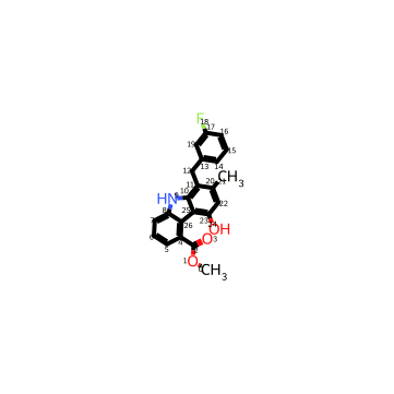 COC(=O)c1cccc2[nH]c3c(Cc4cccc(F)c4)c(C)cc(O)c3c12